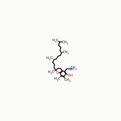 CNCc1c(O)c(C)c(C)c2c1CC[C@@](C)(CCC[C@H](C)CCC[C@H](C)CCCC(C)C)O2